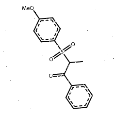 COc1ccc(S(=O)(=O)C(C)C(=O)c2ccccc2)cc1